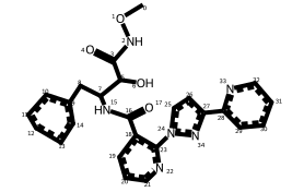 CONC(=O)C(O)C(Cc1ccccc1)NC(=O)c1cccnc1-n1ccc(-c2ccccn2)n1